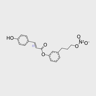 O=C(/C=C/c1ccc(O)cc1)Oc1cccc(CCCO[N+](=O)[O-])c1